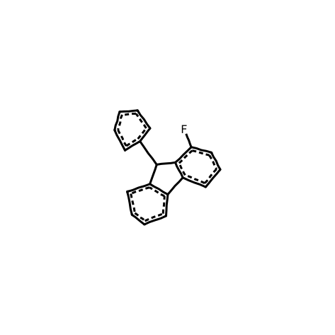 Fc1cccc2c1C(c1ccccc1)c1ccccc1-2